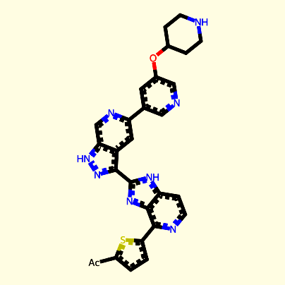 CC(=O)c1ccc(-c2nccc3[nH]c(-c4n[nH]c5cnc(-c6cncc(OC7CCNCC7)c6)cc45)nc23)s1